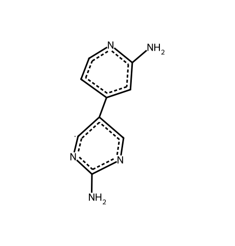 Nc1cc(-c2[c]nc(N)nc2)ccn1